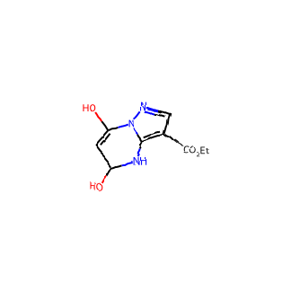 CCOC(=O)c1cnn2c1NC(O)C=C2O